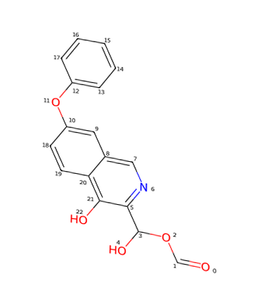 O=COC(O)c1ncc2cc(Oc3ccccc3)ccc2c1O